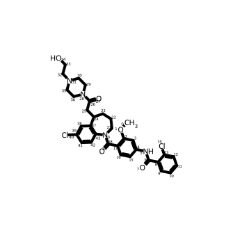 COc1cc(NC(=O)c2ccccc2Cl)ccc1C(=O)N1CCCC(CC(=O)N2CCN(CCO)CC2)c2cc(Cl)ccc21